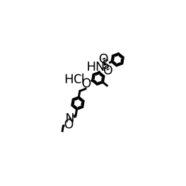 CCON=Cc1ccc(CCOc2cc(C)cc(NS(=O)(=O)c3ccccc3)c2)cc1.Cl